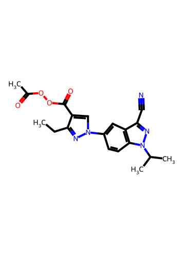 CCc1nn(-c2ccc3c(c2)c(C#N)nn3C(C)C)cc1C(=O)OOC(C)=O